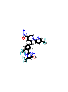 NC(=O)C1CCN(c2ccc(C(F)(F)F)cn2)C(Cc2ccc(C(F)(F)F)c(-c3nc(C(F)(F)F)cc(=O)[nH]3)c2)C1